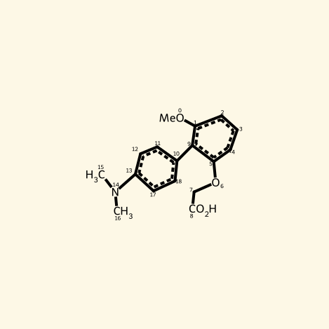 COc1cc[c]c(OCC(=O)O)c1-c1ccc(N(C)C)cc1